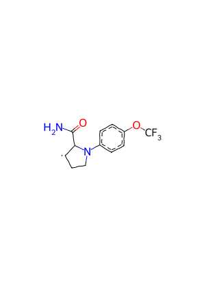 NC(=O)C1[CH]CCN1c1ccc(OC(F)(F)F)cc1